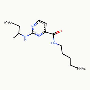 COCC(C)Nc1nccc(C(=O)NCCCCNC(C)=O)n1